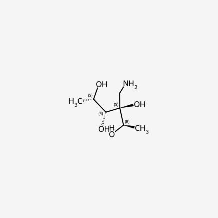 C[C@H](O)[C@@H](O)[C@](O)(CN)[C@@H](C)O